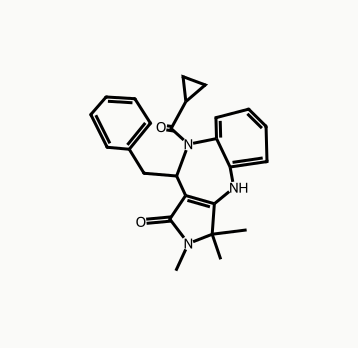 CN1C(=O)C2=C(Nc3ccccc3N(C(=O)C3CC3)C2Cc2ccccc2)C1(C)C